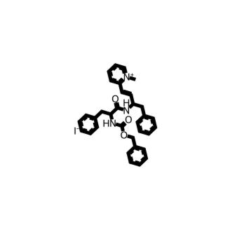 C[n+]1ccccc1/C=C/C(Cc1ccccc1)NC(=O)C(Cc1ccccc1)NC(=O)OCc1ccccc1.[I-]